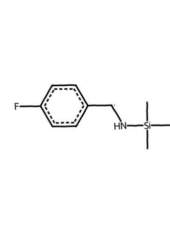 C[Si](C)(C)N[CH]c1ccc(F)cc1